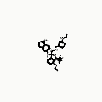 CCNc1cccc(CNC(=O)C(Nc2ccc3c(N)nccc3c2)(OC(=O)C(F)(F)F)c2cccc(OCC)c2OC(C)C)c1